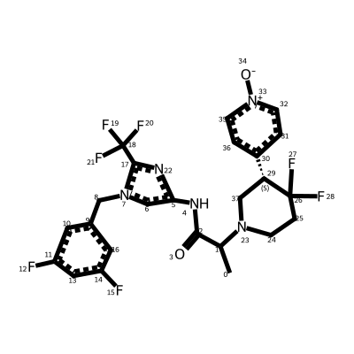 CC(C(=O)Nc1cn(Cc2cc(F)cc(F)c2)c(C(F)(F)F)n1)N1CCC(F)(F)[C@@H](c2cc[n+]([O-])cc2)C1